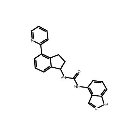 O=C(Nc1cccc2[nH]ncc12)NC1CCc2c(-c3ccccn3)cccc21